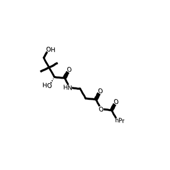 CCCC(=O)OC(=O)CCNC(=O)[C@H](O)C(C)(C)CO